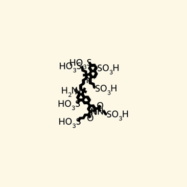 CC1(CCCS(=O)(=O)O)C(/C=C/C=C2/N(N)c3cc(S(=O)(=O)O)c4cc(-c5cc(C(=O)CCCS(=O)(=O)O)nc(C(=O)NCCS(=O)(=O)O)c5)ccc4c3C2(C)C)=[N+](CCCS(=O)(=O)O)c2ccc3c(S(=O)(=O)O)cc(S(=O)(=O)O)cc3c21